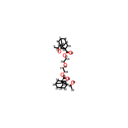 CC(=O)C12CC3CC(C1)CC(C(=O)OCCOCCOC(=O)[C@]14CC5CC(C[C@](C(C)=O)(C5)C1)C4)(C3)C2